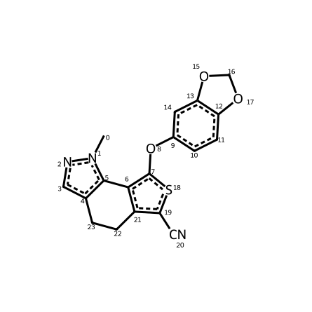 Cn1ncc2c1-c1c(Oc3ccc4c(c3)OCO4)sc(C#N)c1CC2